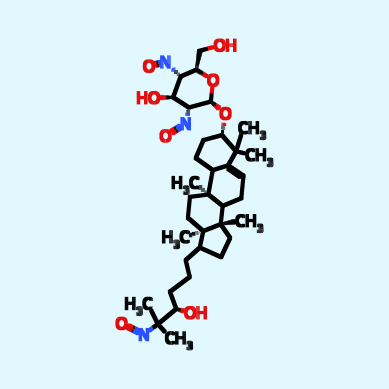 CC(C)(N=O)[C@H](O)CCCC1CC[C@@]2(C)C3CC=C4C(CC[C@H](O[C@@H]5O[C@H](CO)[C@@H](N=O)[C@H](O)[C@H]5N=O)C4(C)C)[C@]3(C)CC[C@]12C